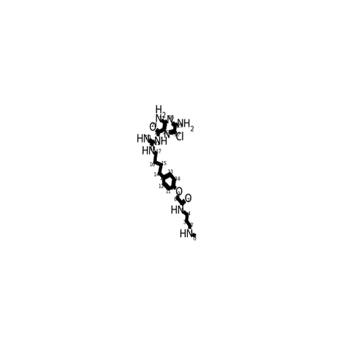 CNCCCNC(=O)COc1ccc(CCCCNC(=N)NC(=O)c2nc(Cl)c(N)nc2N)cc1